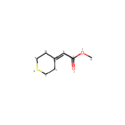 COC(=O)C=C1CCSCC1